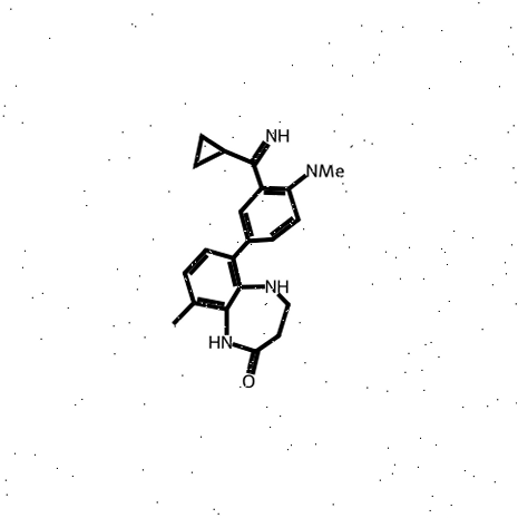 CNc1ccc(-c2ccc(C)c3c2NCCC(=O)N3)cc1C(=N)C1CC1